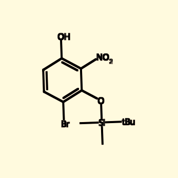 CC(C)(C)[Si](C)(C)Oc1c(Br)ccc(O)c1[N+](=O)[O-]